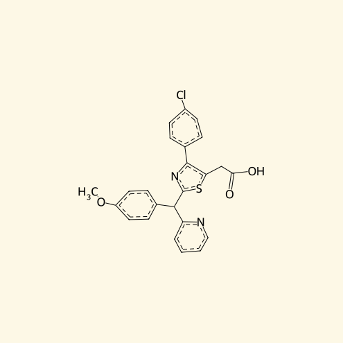 COc1ccc(C(c2ccccn2)c2nc(-c3ccc(Cl)cc3)c(CC(=O)O)s2)cc1